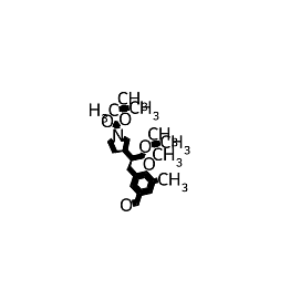 Cc1cc(C=O)cc(C[C@H](C(=O)OC(C)(C)C)[C@H]2CCN(C(=O)OC(C)(C)C)C2)c1